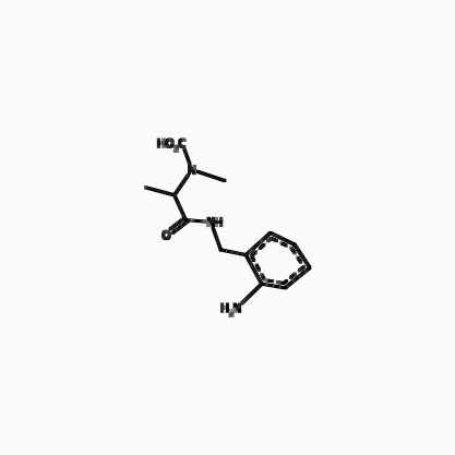 CC(C(=O)NCc1ccccc1N)N(C)C(=O)O